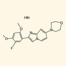 Br.COc1cc(OC)c(-c2cn3ccc(N4CCOCC4)cc3n2)cc1F